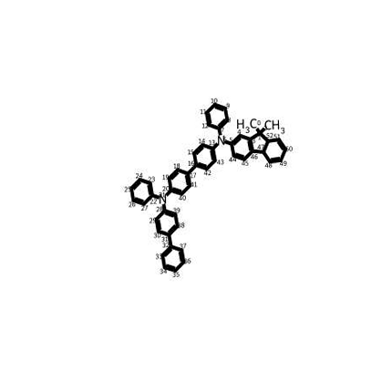 CC1(C)c2cc(N(c3ccccc3)c3ccc(-c4ccc(N(c5ccccc5)c5ccc(-c6ccccc6)cc5)cc4)cc3)ccc2C2C=CC=CC21